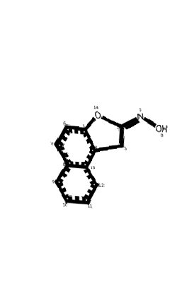 ON=C1Cc2c(ccc3ccccc23)O1